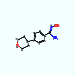 N/C(=N\O)c1ccc(C2CCOCC2)cc1